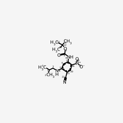 CC(C)CNc1cc(NC(=O)OC(C)(C)C)c([N+](=O)[O-])cc1C#N